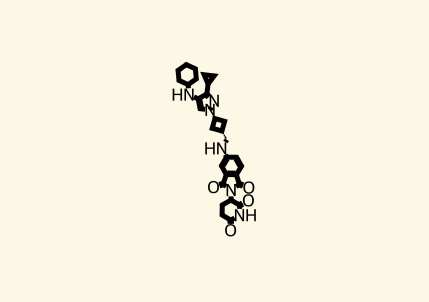 O=C1CCC(N2C(=O)c3ccc(NC[C@H]4C[C@H](n5cc(NC6CCCCC6)c(C6CC6)n5)C4)cc3C2=O)C(=O)N1